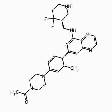 CC(=O)N1CCN(C2=CC(C)[C@H](c3cc4nccnc4c(NC[C@@H]4CNCCC4(F)F)n3)C=C2)CC1